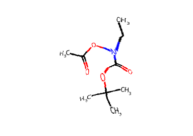 CCN(OC(C)=O)C(=O)OC(C)(C)C